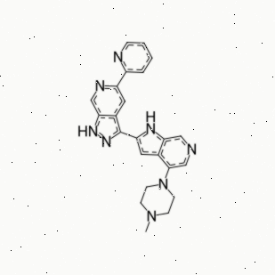 CN1CCN(c2cncc3[nH]c(-c4n[nH]c5cnc(-c6ccccn6)cc45)cc23)CC1